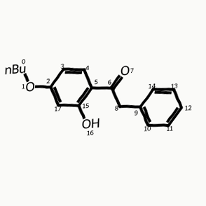 CCCCOc1ccc(C(=O)Cc2ccccc2)c(O)c1